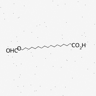 O=COCCCCCCCCCCCCCCCCC(=O)O